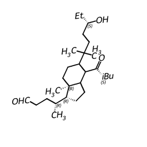 CC[C@H](O)CCC(C)(C)C1CC[C@@]2(C)C(CC[C@@H]2[C@H](C)CCC=O)C1C(=O)[C@@H](C)CC